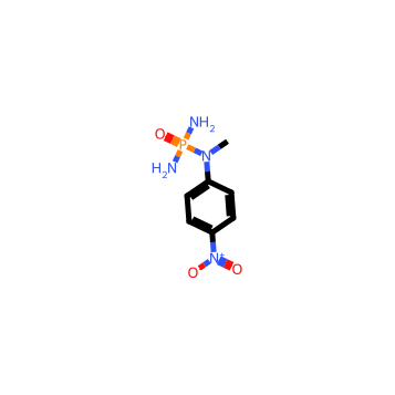 CN(c1ccc([N+](=O)[O-])cc1)P(N)(N)=O